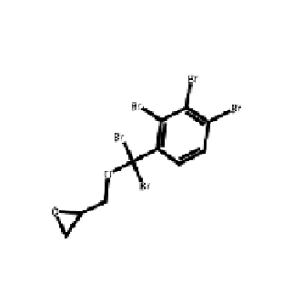 Brc1ccc(C(Br)(Br)OCC2CO2)c(Br)c1Br